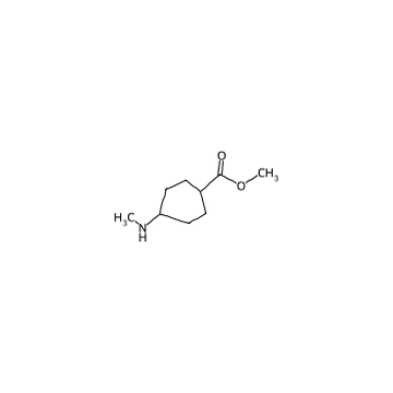 CNC1CCC(C(=O)OC)CC1